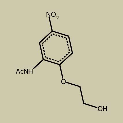 CC(=O)Nc1cc([N+](=O)[O-])ccc1OCCO